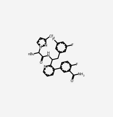 CCCCC(C(=O)NC(Cc1cc(F)cc(F)c1)c1ncccc1-c1ccc(F)c(C(N)=O)c1)n1ccc(C(F)(F)F)n1